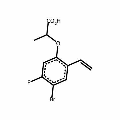 C=Cc1cc(Br)c(F)cc1OC(C)C(=O)O